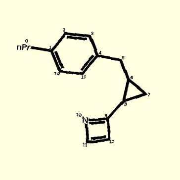 CCCc1ccc(CC2CC2C2=NC=C2)cc1